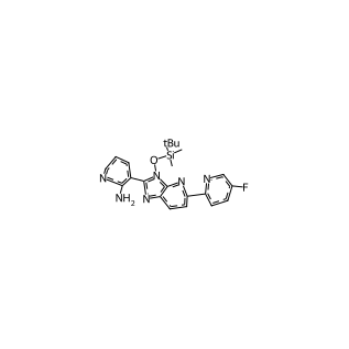 CC(C)(C)[Si](C)(C)On1c(-c2cccnc2N)nc2ccc(-c3ccc(F)cn3)nc21